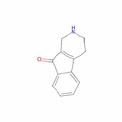 O=C1C2=C(CCNC2)c2ccccc21